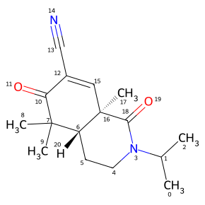 CC(C)N1CC[C@@H]2C(C)(C)C(=O)C(C#N)=C[C@@]2(C)C1=O